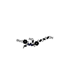 COc1ccc2c(c1)N(CCF)/C(=C/C(C)=C/c1sc3ccc(OCCOCCOCCO)cc3[n+]1CCO)S2